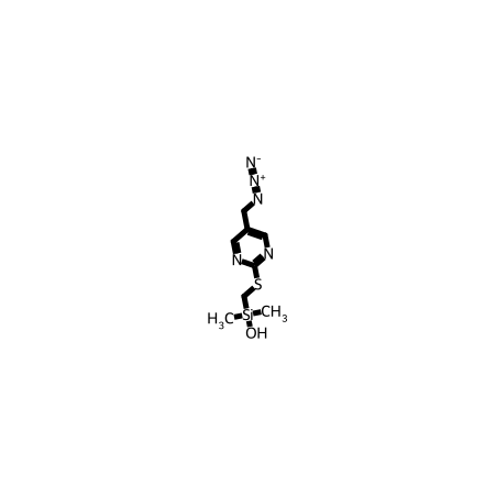 C[Si](C)(O)CSc1ncc(CN=[N+]=[N-])cn1